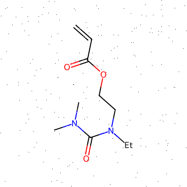 C=CC(=O)OCCN(CC)C(=O)N(C)C